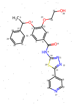 CC(Oc1ccc(C(=O)Nc2nnc(-c3ccncc3)s2)cc1OCCO)c1ccccc1